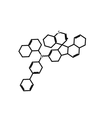 C1=CCC(C2=CCC(N(C3=CC4C(CC3)C3C=CC5CCC=CC5C3C43C4=C(CCC=C4)SC4=C3CCCC4)C3CCC=C4CCCCC43)C=C2)C=C1